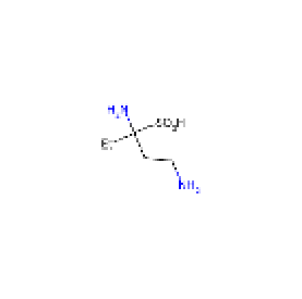 CCC(N)(CCN)S(=O)(=O)O